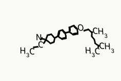 CCCCCC1(C#N)CCC(c2ccc(-c3ccc(OCCC(C)CCCC(C)C)cc3)cc2)CC1